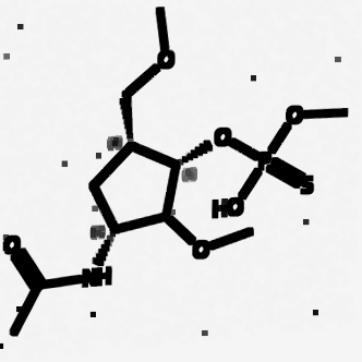 COC[C@H]1C[C@@H](NC(C)=O)C(OC)[C@H]1OP(O)(=S)OC